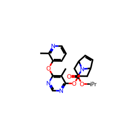 Cc1ncccc1Oc1ncnc(OC2CC3C=CC(C2)N3C(=O)OC(C)C)c1C